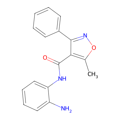 Cc1onc(-c2ccccc2)c1C(=O)Nc1ccccc1N